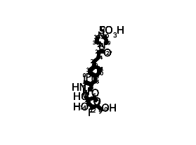 CC(C)c1[nH]nc(OC2OC(CO)C(F)C(O)C2O)c1Cc1ccc(CCCC(=O)N2CCN(S(=O)(=O)O)CC2)cc1